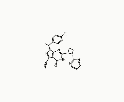 CC(c1ccc(F)cc1)n1nc(C#N)c2c(=O)[nH]c([C@H]3CC[C@@H]3c3ncccn3)nc21